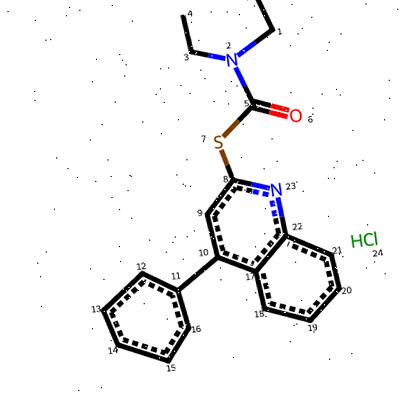 CCN(CC)C(=O)Sc1cc(-c2ccccc2)c2ccccc2n1.Cl